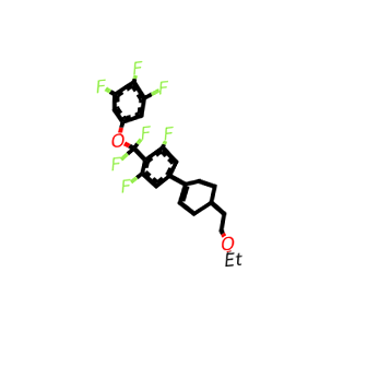 CCOCCC1CC=C(c2cc(F)c(C(F)(F)Oc3cc(F)c(F)c(F)c3)c(F)c2)CC1